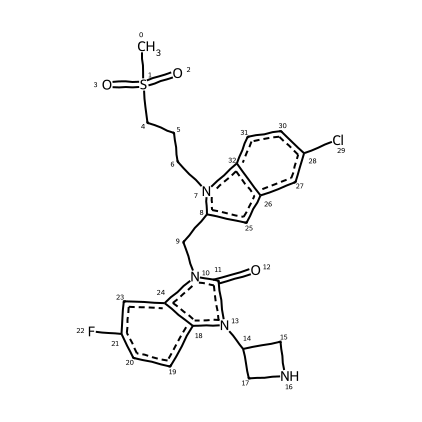 CS(=O)(=O)CCCn1c(Cn2c(=O)n(C3CNC3)c3ccc(F)cc32)cc2cc(Cl)ccc21